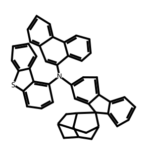 c1ccc2c(c1)-c1ccc(N(c3cc4ccccc4c4ccccc34)c3cccc4sc5ccccc5c34)cc1C21C2CC3CC(C2)CC1C3